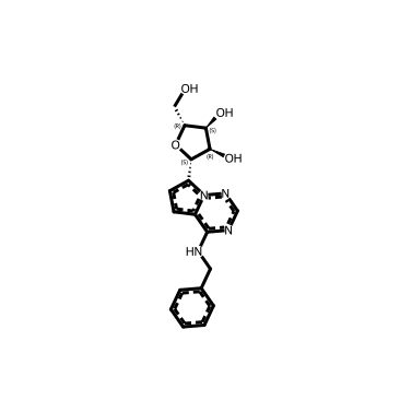 OC[C@H]1O[C@@H](c2ccc3c(NCc4ccccc4)ncnn23)[C@H](O)[C@@H]1O